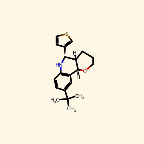 CC(C)(C)c1ccc2c(c1)[C@H]1OCCC[C@H]1[C@H](c1ccsc1)N2